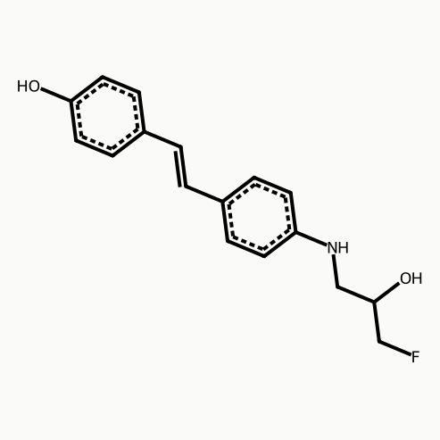 Oc1ccc(/C=C/c2ccc(NCC(O)CF)cc2)cc1